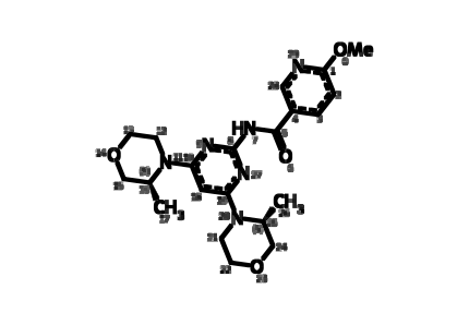 COc1ccc(C(=O)Nc2nc(N3CCOC[C@@H]3C)cc(N3CCOC[C@@H]3C)n2)cn1